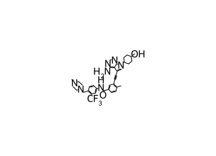 Cc1ccc(C(=O)Nc2ccc(CN3CCN(C)CC3)c(C(F)(F)F)c2)cc1C#Cc1cn([C@H]2CC[C@H](O)CC2)c2ncnc(N)c12